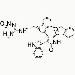 NC(=N[N+](=O)[O-])NCCCn1cc(C2=C(c3c[nH]c4ccccc34)C(=O)NC2=O)c2c(OCc3ccccc3)cccc21